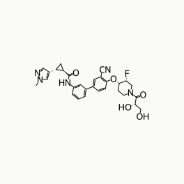 Cn1cc([C@@H]2C[C@H]2C(=O)Nc2cccc(-c3ccc(O[C@H]4CCN(C(=O)[C@@H](O)CO)C[C@H]4F)c(C#N)c3)c2)cn1